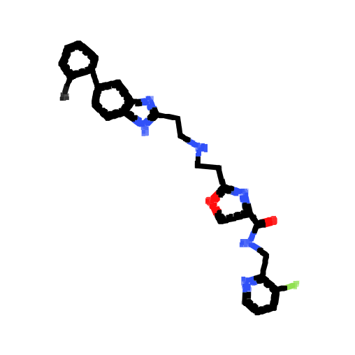 CCc1ccccc1-c1ccc2[nH]c(CCNCCc3nc(C(=O)NCc4ncccc4F)co3)nc2c1